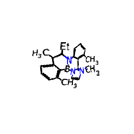 CCC1C(C)c2cccc(C)c2B2N1c1cccc(C)c1-c1n2cc[n+]1C